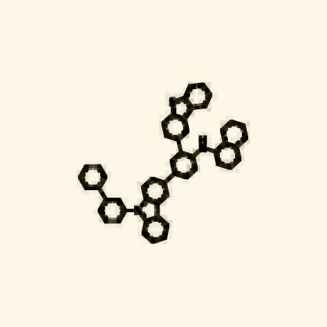 c1ccc(-c2cccc(-n3c4ccccc4c4cc(-c5ccc(Nc6cccc7ccccc67)c(-c6ccc7sc8ccccc8c7c6)c5)ccc43)c2)cc1